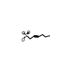 CCCC#CCS([O])(=O)=O